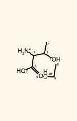 CC(O)C(N)C(=O)O.CCO